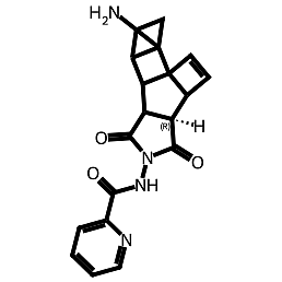 NC12CC13C2C1C2C(=O)N(NC(=O)c4ccccn4)C(=O)[C@@H]2C2C=CC123